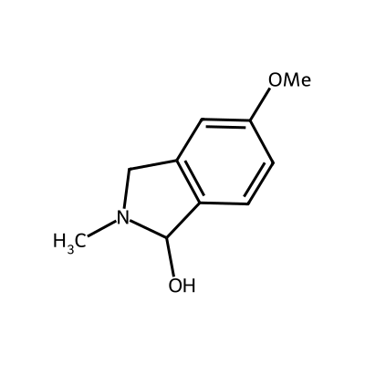 COc1ccc2c(c1)CN(C)C2O